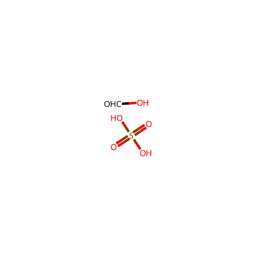 O=CO.O=S(=O)(O)O